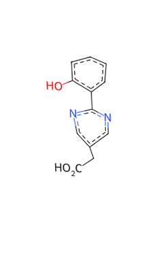 O=C(O)Cc1cnc(-c2ccccc2O)nc1